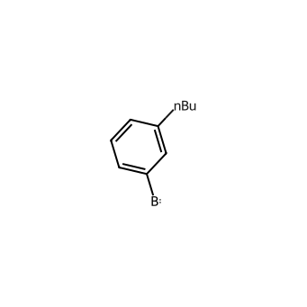 [B]c1cccc(CCCC)c1